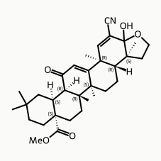 COC(=O)[C@]12CCC(C)(C)C[C@H]1[C@H]1C(=O)C=C3[C@@]4(C)C=C(C#N)C5(O)OCC[C@@]5(C)[C@@H]4CC[C@@]3(C)[C@]1(C)CC2